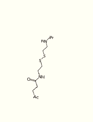 CC(=O)CCC(=O)NCCSSCCNC(C)C